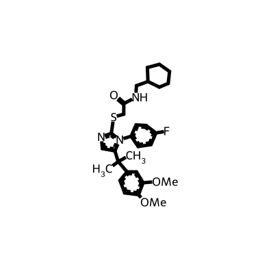 COc1ccc(C(C)(C)c2cnc(SCC(=O)NCC3CCCCC3)n2-c2ccc(F)cc2)cc1OC